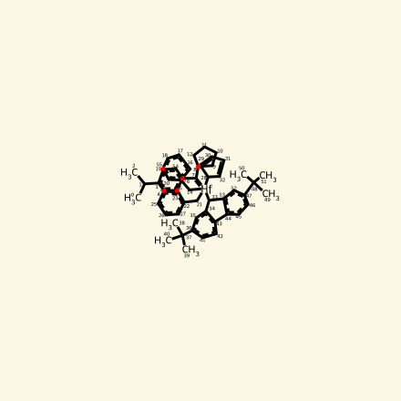 CC(C)c1ccc([C](C2CCCC2)=[Hf]([CH2]c2ccccc2)([CH2]c2ccccc2)([CH]2C=CC=C2)[CH]2c3cc(C(C)(C)C)ccc3-c3ccc(C(C)(C)C)cc32)cc1